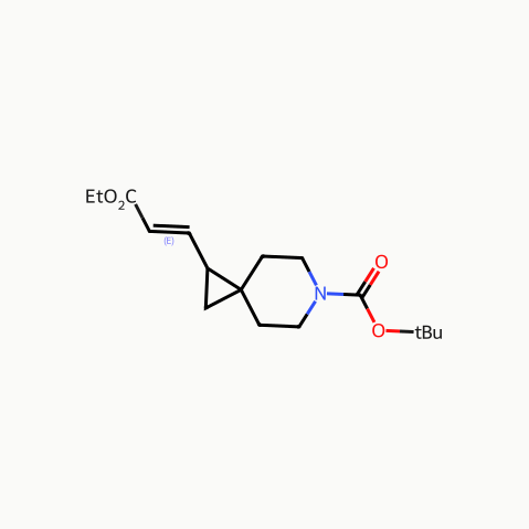 CCOC(=O)/C=C/C1CC12CCN(C(=O)OC(C)(C)C)CC2